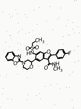 CCS(=O)(=O)Nc1cc2oc(-c3ccc(F)cc3)c(C(=O)NC)c2cc1C1CN(c2nc3ccccc3o2)CCO1